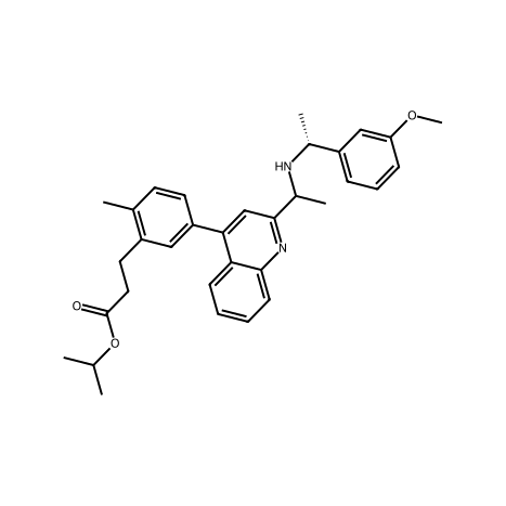 COc1cccc([C@@H](C)NC(C)c2cc(-c3ccc(C)c(CCC(=O)OC(C)C)c3)c3ccccc3n2)c1